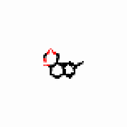 Cc1ccc2c(c1)C1COCOC1CC2